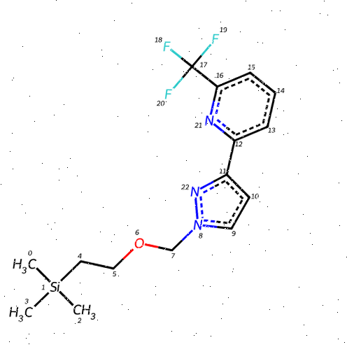 C[Si](C)(C)CCOCn1ccc(-c2cccc(C(F)(F)F)n2)n1